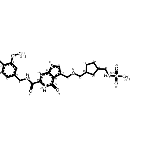 COc1cc(CNC(=O)c2nc3scc(COCC4CCC(CNS(C)(=O)=O)C4)c3c(=O)[nH]2)ccc1F